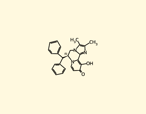 Cc1nc2n(c1C)C[C@H](C(c1ccccc1)c1ccccc1)n1ccc(=O)c(O)c1-2